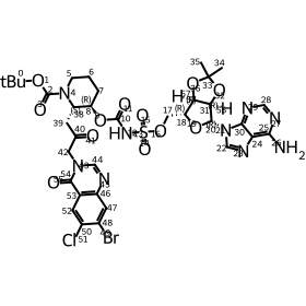 CC(C)(C)OC(=O)N1CCC[C@@H](OC(=O)NS(=O)(=O)OC[C@H]2O[C@@H](n3cnc4c(N)ncnc43)[C@@H]3OC(C)(C)O[C@@H]32)[C@@H]1CC(=O)Cn1cnc2cc(Br)c(Cl)cc2c1=O